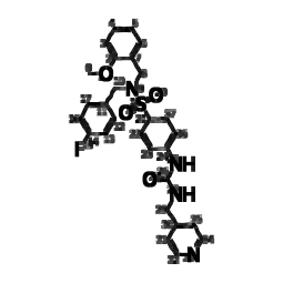 COc1ccccc1CN(Cc1ccc(F)cc1)S(=O)(=O)c1ccc(NC(=O)NCc2ccncc2)cc1